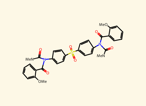 CNC(=O)N(C(=O)c1ccccc1OC)c1ccc(S(=O)(=O)c2ccc(N(C(=O)NC)C(=O)c3ccccc3OC)cc2)cc1